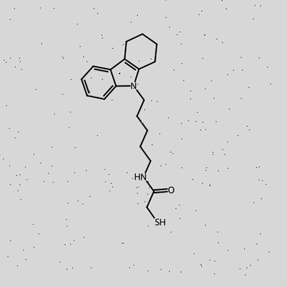 O=C(CS)NCCCCCn1c2c(c3ccccc31)CCCC2